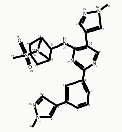 Cn1cc(-c2cccc(-c3ncc(-c4cnn(C)c4)c(NC4C5CCCC4N5S(C)(=O)=O)n3)c2)cn1